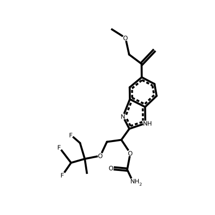 C=C(COC)c1ccc2[nH]c(C(COC(C)(CF)C(F)F)OC(N)=O)nc2c1